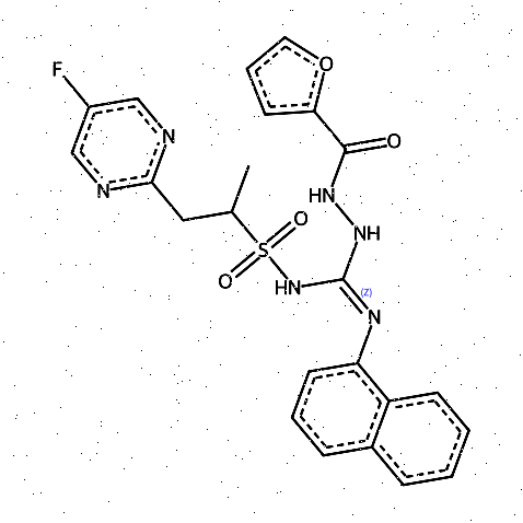 CC(Cc1ncc(F)cn1)S(=O)(=O)N/C(=N\c1cccc2ccccc12)NNC(=O)c1ccco1